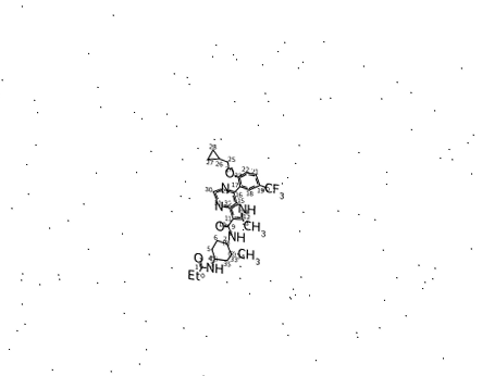 CCC(=O)N[C@H]1CC[C@H](NC(=O)c2c(C)[nH]c3c(-c4cc(C(F)(F)F)ccc4OCC4CC4)ncnc23)[C@H](C)C1